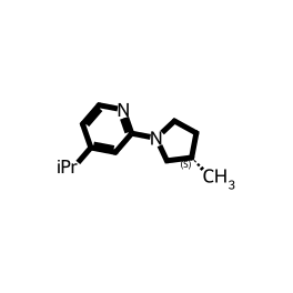 CC(C)c1ccnc(N2CC[C@H](C)C2)c1